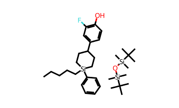 CC(C)(C)[Si](C)(C)O[Si](C)(C)C(C)(C)C.CCCCC[Si]1(c2ccccc2)CCC(c2ccc(O)c(F)c2)CC1